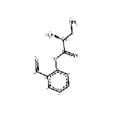 NC[C@H](N)C(=O)Oc1ccccc1C=O